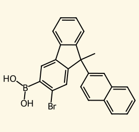 CC1(c2ccc3ccccc3c2)c2ccccc2-c2cc(B(O)O)c(Br)cc21